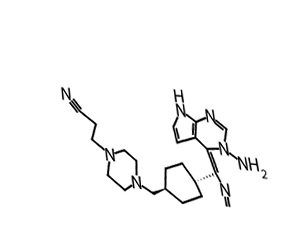 C=N/C(=C1/c2cc[nH]c2N=CN1N)[C@H]1CC[C@H](CN2CCN(CCC#N)CC2)CC1